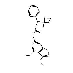 CCOc1n[nH]c2cc(NC(=O)NC(c3ccccc3)C3(O)CCC3)nc(CO)c12